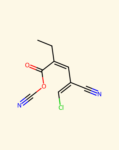 CCC(=CC(C#N)=CCl)C(=O)OC#N